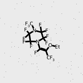 CCO/C(=C(/F)N1C(F)(F)C(F)(F)N(C(F)(F)F)C(F)(F)C1(F)F)C(F)(F)F